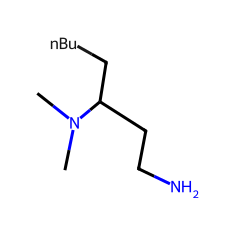 CCCCCC(CCN)N(C)C